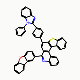 c1ccc(-n2c(-c3ccc(-c4cc5c(-c6ccc7oc8ccccc8c7c6)nc6ccccc6c5c5c4sc4ccccc45)cc3)nc3ccccc32)cc1